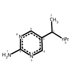 CCCC(C)c1cnc(N)nc1